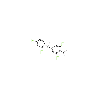 CC(C)c1c(F)cc(C(C)(C)c2ccc(F)cc2F)cc1F